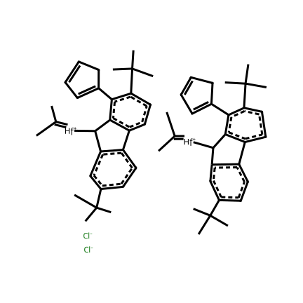 C[C](C)=[Hf+][CH]1c2cc(C(C)(C)C)ccc2-c2ccc(C(C)(C)C)c(C3=CC=CC3)c21.C[C](C)=[Hf+][CH]1c2cc(C(C)(C)C)ccc2-c2ccc(C(C)(C)C)c(C3=CC=CC3)c21.[Cl-].[Cl-]